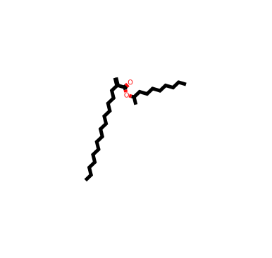 C=C(CCCCCCCCCCCCCCC)C(=O)OC(C)CCCCCCCC